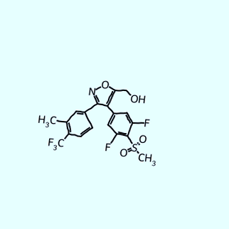 Cc1cc(-c2noc(CO)c2-c2cc(F)c(S(C)(=O)=O)c(F)c2)ccc1C(F)(F)F